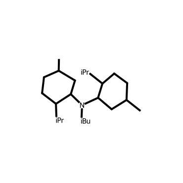 CCC(C)N(C1CC(C)CCC1C(C)C)C1CC(C)CCC1C(C)C